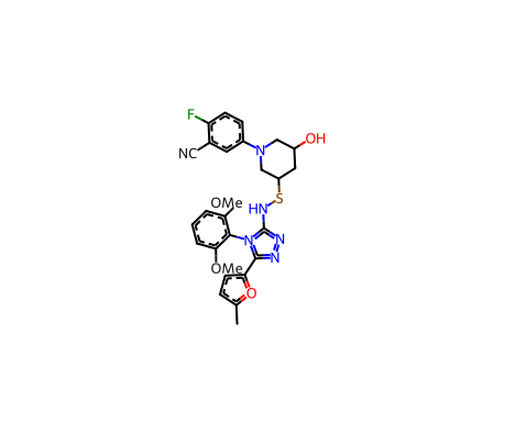 COc1cccc(OC)c1-n1c(NSC2CC(O)CN(c3ccc(F)c(C#N)c3)C2)nnc1-c1ccc(C)o1